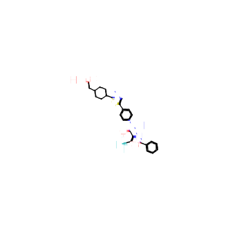 O=C(O)CC1CCC(c2ncc(-c3ccc(NC(=O)c4nc(-c5ccccc5)oc4C(F)(F)F)cc3)s2)CC1